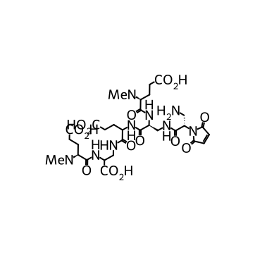 CN[C@@H](CCC(=O)O)C(=O)NC(CNC(=O)C(CCC(=O)O)NC(=O)[C@H](CNC(=O)[C@H](CN)N1C(=O)C=CC1=O)NC(=O)[C@H](CCC(=O)O)NC)C(=O)O